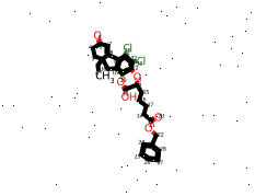 CCC12CCC(=O)C=C1c1c(cc(OC(CCCCC(=O)OCc3ccccc3)C(=O)O)c(Cl)c1Cl)C2